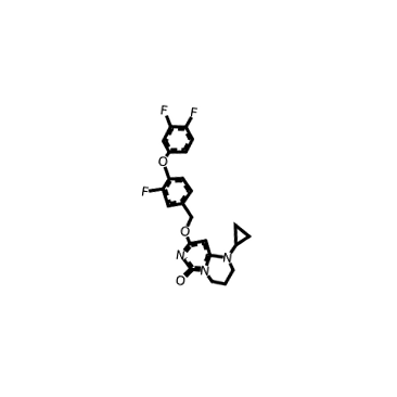 O=c1nc(OCc2ccc(Oc3ccc(F)c(F)c3)c(F)c2)cc2n1CCCN2C1CC1